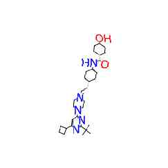 CC(C)(C)c1nc(C2CCC2)cc(N2CCN(CC[C@H]3CC[C@H](NC(=O)[C@H]4CC[C@@H](O)CC4)CC3)CC2)n1